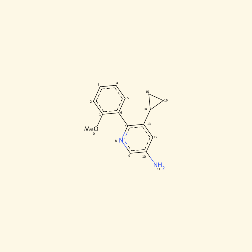 COc1ccccc1-c1ncc(N)cc1C1CC1